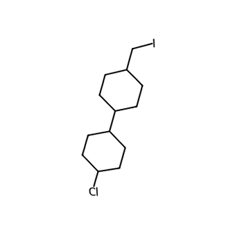 ClC1CCC(C2CCC(CI)CC2)CC1